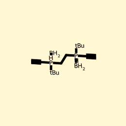 B[PH](C#C)(CC[PH](B)(C#C)C(C)(C)C)C(C)(C)C